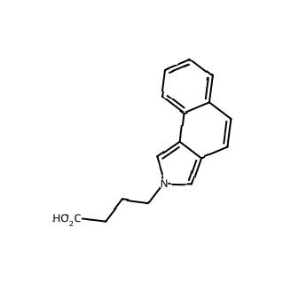 O=C(O)CCCn1cc2ccc3ccccc3c2c1